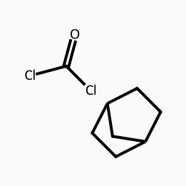 C1CC2CCC1C2.O=C(Cl)Cl